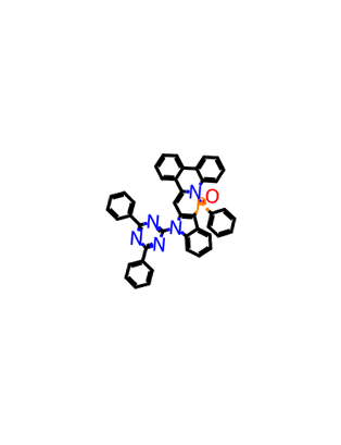 O=P1(c2ccccc2)c2c(n(-c3nc(-c4ccccc4)nc(-c4ccccc4)n3)c3ccccc23)C=C2c3ccccc3-c3ccccc3N21